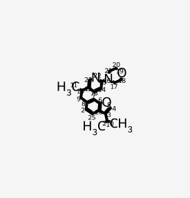 CC(C)c1coc2cc(CC(C)c3ccc(N4CCOCC4)nc3)ccc12